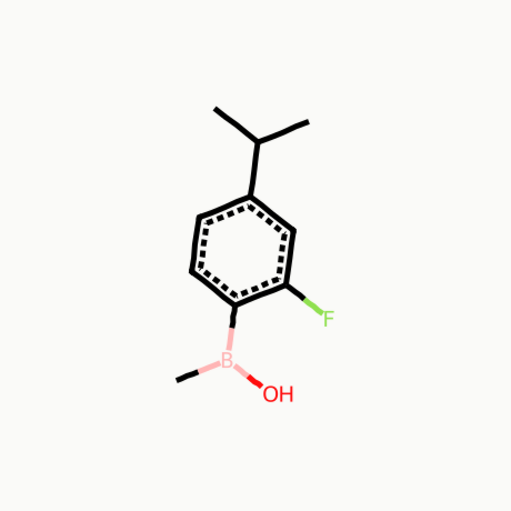 CB(O)c1ccc(C(C)C)cc1F